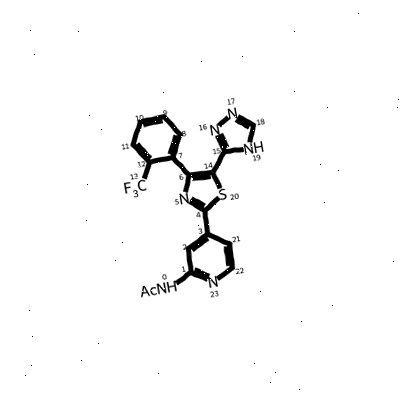 CC(=O)Nc1cc(-c2nc(-c3ccccc3C(F)(F)F)c(-c3nnc[nH]3)s2)ccn1